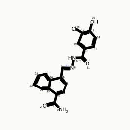 NC(=O)c1ccc(/C=N/NC(=O)c2ccc(O)c(Cl)c2)c2ccccc12